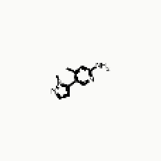 Cc1cc(N)ncc1-c1ccnn1C